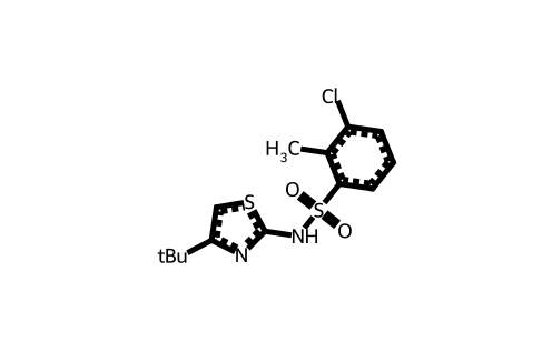 Cc1c(Cl)cccc1S(=O)(=O)Nc1nc(C(C)(C)C)cs1